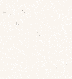 Cc1ncc(C(=O)NCc2ccnc(C(F)(F)F)c2)c(C)n1